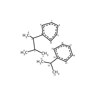 CC(C)C(C)c1ccccc1.CC(C)c1ccccc1